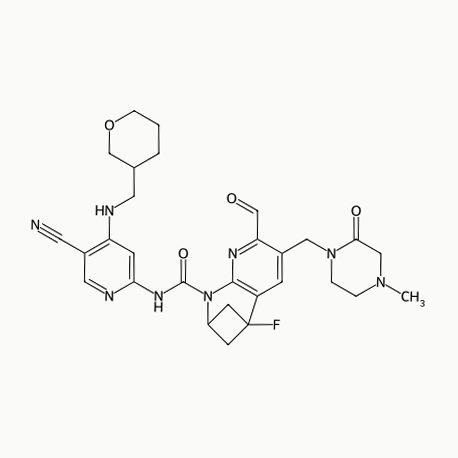 CN1CCN(Cc2cc3c(nc2C=O)N(C(=O)Nc2cc(NCC4CCCOC4)c(C#N)cn2)C2CC3(F)C2)C(=O)C1